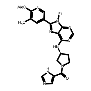 CCn1c(-c2cnc(OC)c(C)c2)nc2c(N[C@H]3CCN(C(=O)c4cnc[nH]4)C3)ncnc21